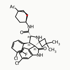 CC(=O)C12CCC(NC(=O)[C@@H]3NC4(CC(C)(C)C4)[C@@]4(C(=O)Nc5cc(Cl)ccc54)[C@H]3c3cccc(Cl)c3F)(CC1)CC2